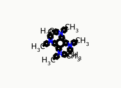 Cc1ccc(N(c2ccc(C)cc2)c2ccc3c(c2)Cc2cc(N(c4ccc(C)cc4)c4ccc(C)cc4)ccc2-c2ccc(N(c4ccc(C)cc4)c4ccc(C)cc4)cc2Cc2cc(N(c4ccc(C)cc4)c4ccc(C)cc4)ccc2-3)cc1